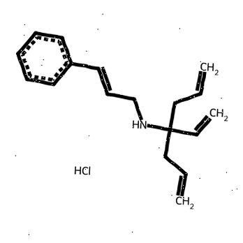 C=CCC(C=C)(CC=C)NCC=Cc1ccccc1.Cl